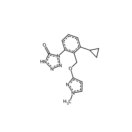 Cn1ccc(OCc2c(C3CC3)cccc2-n2nn[nH]c2=O)n1